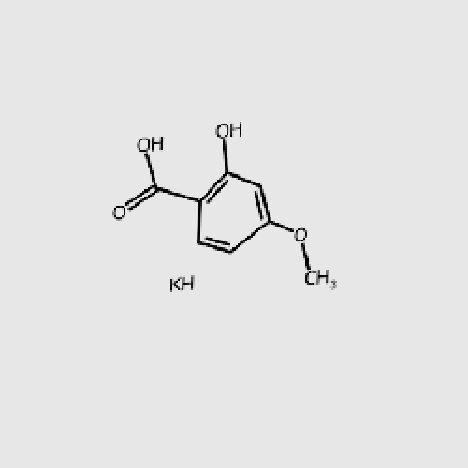 COc1ccc(C(=O)O)c(O)c1.[KH]